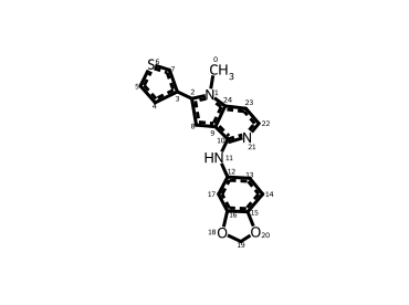 Cn1c(-c2ccsc2)cc2c(Nc3ccc4c(c3)OCO4)nccc21